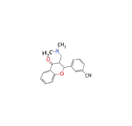 CN(C)CC1C(=O)c2ccccc2OC1c1cccc(C#N)c1